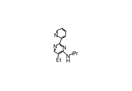 CCc1cnc(-c2ccccn2)nc1NC(C)C